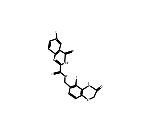 O=C1COc2ccc(CNC(=O)c3nc4ccc(F)cc4c(=O)[nH]3)c(F)c2N1